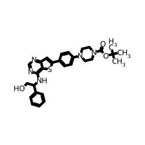 CC(C)(C)OC(=O)N1CCN(c2ccc(-c3cc4ncnc(NC(CO)c5ccccc5)c4s3)cc2)CC1